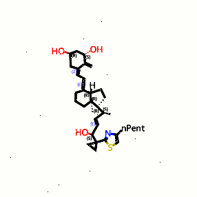 C=C1/C(=C\C=C2/CCC[C@]3(C)[C@@H]([C@@H](C)/C=C/[C@H](O)C4(c5nc(CCCCC)cs5)CC4)CC[C@@H]23)C[C@@H](O)C[C@@H]1O